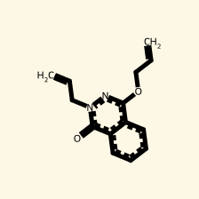 C=CCOc1nn(CC=C)c(=O)c2ccccc12